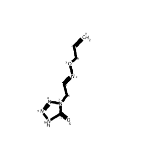 C=CCON=CCn1nn[nH]c1=O